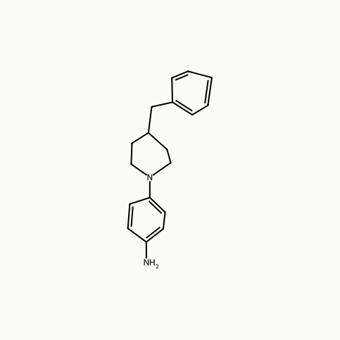 Nc1ccc(N2CCC(Cc3ccccc3)CC2)cc1